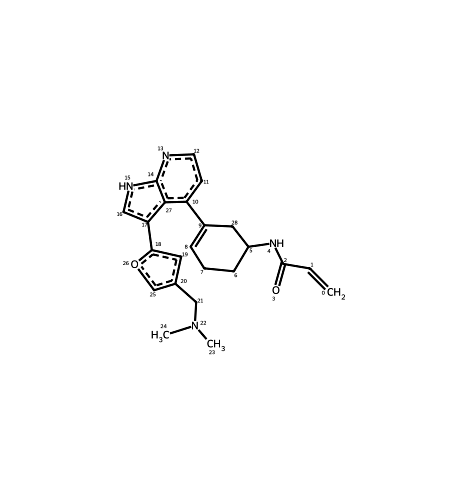 C=CC(=O)NC1CCC=C(c2ccnc3[nH]cc(-c4cc(CN(C)C)co4)c23)C1